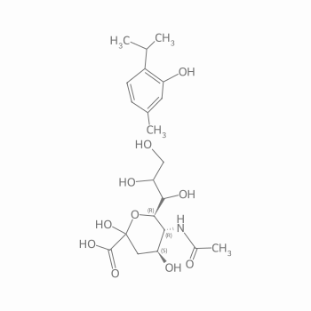 CC(=O)N[C@@H]1[C@@H](O)CC(O)(C(=O)O)O[C@H]1C(O)C(O)CO.Cc1ccc(C(C)C)c(O)c1